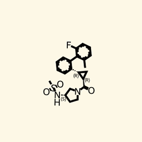 Cc1cccc(F)c1-c1ccccc1[C@@H]1C[C@H]1C(=O)N1CC[C@H](NS(C)(=O)=O)C1